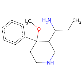 CCC(N)C1CNCCC1(OC)c1ccccc1